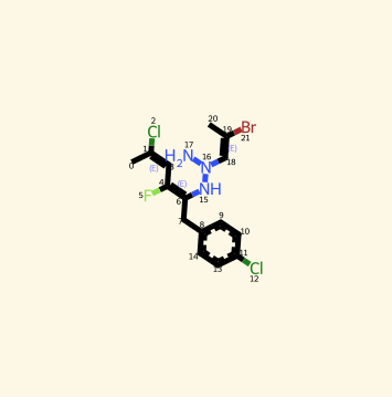 C/C(Cl)=C\C(F)=C(\Cc1ccc(Cl)cc1)NN(N)/C=C(\C)Br